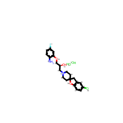 Cl.Cl.Nc1ccc(F)cc1OC[C@@H](O)CN1CCC2(CC1)Cc1cc(Cl)ccc1O2